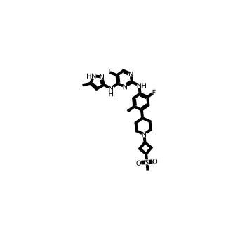 Cc1cc(Nc2nc(Nc3cc(C)c(C4CCN(C5CC(S(C)(=O)=O)C5)CC4)cc3F)ncc2I)n[nH]1